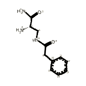 NC(=O)[C@@H](N)CNC(=O)Cc1ccccc1